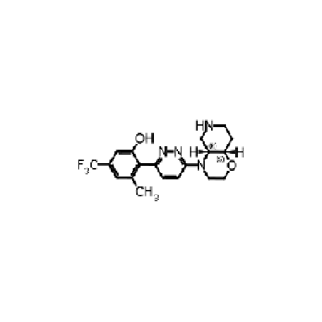 Cc1cc(C(F)(F)F)cc(O)c1-c1ccc(N2CCO[C@H]3CCNC[C@H]32)nn1